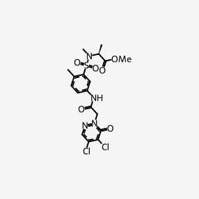 COC(=O)[C@H](C)N(C)S(=O)(=O)c1cc(NC(=O)Cn2ncc(Cl)c(Cl)c2=O)ccc1C